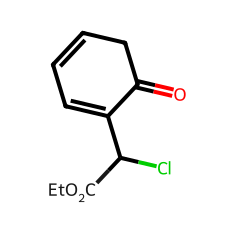 CCOC(=O)C(Cl)C1=CC=CCC1=O